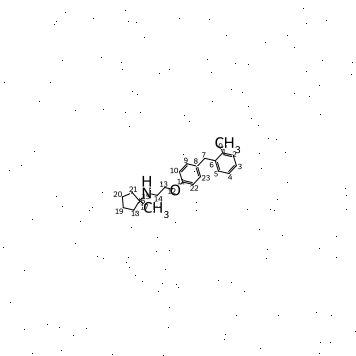 Cc1ccccc1Cc1ccc(OCCNC2(C)CCCC2)cc1